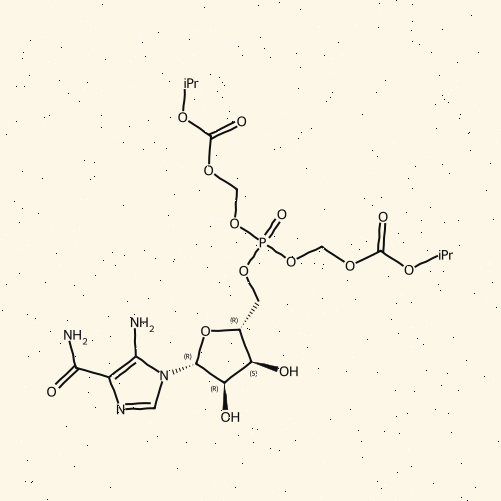 CC(C)OC(=O)OCOP(=O)(OCOC(=O)OC(C)C)OC[C@H]1O[C@@H](n2cnc(C(N)=O)c2N)[C@H](O)[C@@H]1O